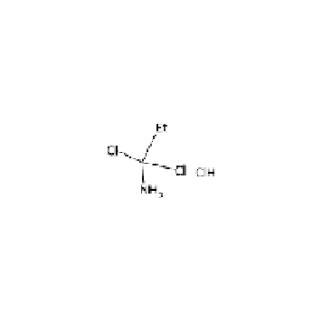 CCC(N)(Cl)Cl.Cl